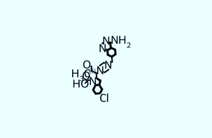 C[C@H](C=O)C(c1cc2cc(Cl)ccc2n1C(=O)O)N1CCN(Cc2ccc3c(N)ncnc3c2)CC1